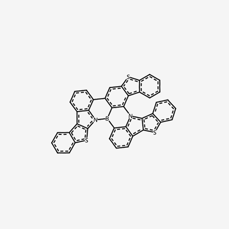 c1ccc2c(c1)sc1cc3c4c(c12)-n1c2c(cccc2c2sc5ccccc5c21)B4n1c2sc4ccccc4c2c2cccc-3c21